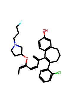 C=C(/C=C\C(=C/C)OC1CCN(CCCF)C1)C1=C(c2ccccc2Cl)CCCc2cc(O)ccc21